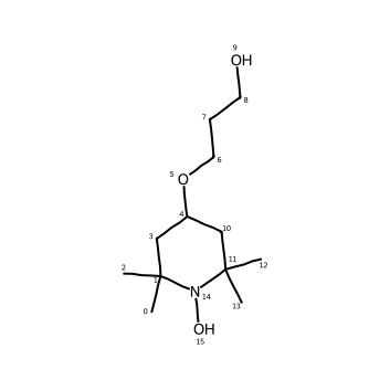 CC1(C)CC(OCCCO)CC(C)(C)N1O